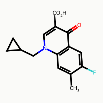 Cc1cc2c(cc1F)c(=O)c(C(=O)O)cn2CC1CC1